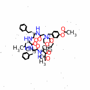 C#CCOc1cc(OC(C)=O)ccc1C[N+]1(CC(=O)N[C@@H](CCc2ccccc2)C(=O)N[C@@H](CC(C)C)C(=O)N[C@@H](Cc2ccccc2)C(=O)N[C@@H](C)C(=O)[C@@]2(C)CO2)CCOCC1